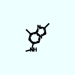 CNc1cc(C)c2nc(C)cn2c1